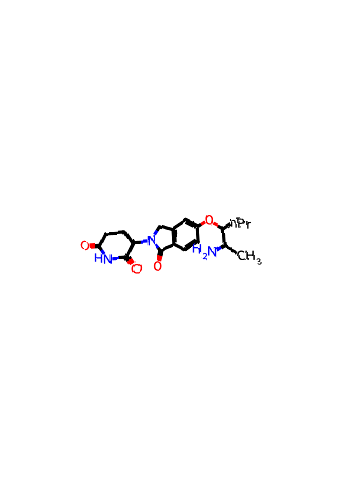 CCCC(Oc1ccc2c(c1)CN(C1CCC(=O)NC1=O)C2=O)C(C)N